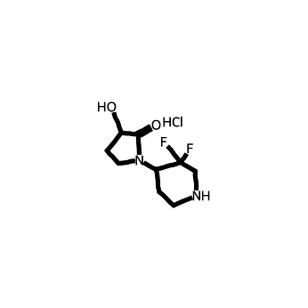 Cl.O=C1C(O)CCN1C1CCNCC1(F)F